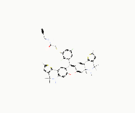 C#CCNC(=O)CSc1cc(F)cc(C2=C3C=C4c5sc(S(=O)(=O)O)cc5C(C)(C)N(C)C4(C)C=C3Oc3cc4c(cc32)-c2sc(S(=O)(=O)O)cc2C(C)(C)N4C)c1F